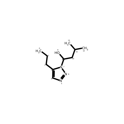 CCCc1cnnn1C(O)CC(C)C